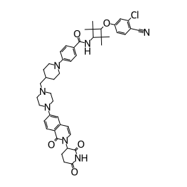 CC1(C)C(NC(=O)c2ccc(N3CCC(CN4CCN(c5ccc6c(=O)n(C7CCC(=O)NC7=O)ccc6c5)CC4)CC3)cc2)C(C)(C)C1Oc1ccc(C#N)c(Cl)c1